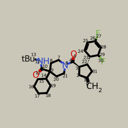 C=C1C[C@@H](C(=O)N2CCC(C(=O)NC(C)(C)C)(C3CCCCC3)CC2)[C@H](C2C=CC(F)=CC2F)C1